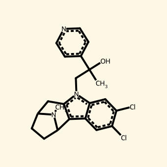 CN1C2CCC1c1c(n(CC(C)(O)c3ccncc3)c3cc(Cl)c(Cl)cc13)C2